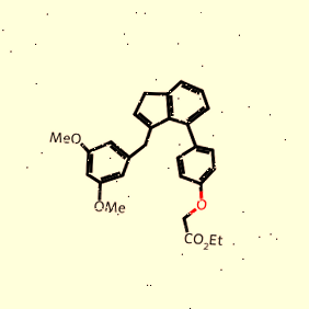 CCOC(=O)COc1ccc(-c2cccc3c2C(Cc2cc(OC)cc(OC)c2)=CC3)cc1